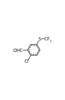 O=Cc1cc(SC(F)(F)F)ccc1Cl